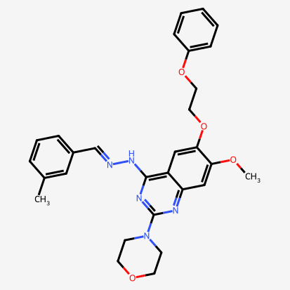 COc1cc2nc(N3CCOCC3)nc(NN=Cc3cccc(C)c3)c2cc1OCCOc1ccccc1